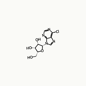 OC[C@H]1O[C@@H](n2cnc3c(Cl)ncnc32)[C@@H](O)[C@H]1O